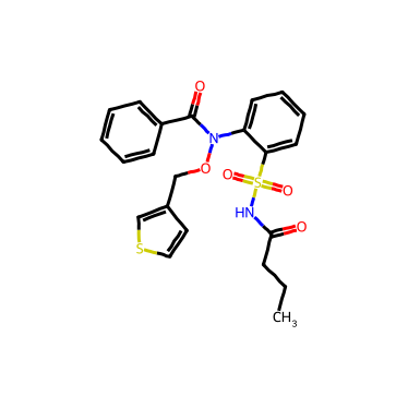 CCCC(=O)NS(=O)(=O)c1ccccc1N(OCc1ccsc1)C(=O)c1ccccc1